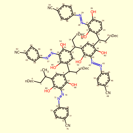 CCCCCCCCCCCC(C)c1cc(C(CCCCCCCCCCC)c2cc(C(CCCCCCCCCCC)c3cc(C(CCCCCCCCCCC)c4ccc(O)c(N=Nc5ccc(C#N)cc5)c4O)c(O)c(N=Nc4ccc(C#N)cc4)c3O)c(O)c(N=Nc3ccc(C#N)cc3)c2O)c(O)c(N=Nc2ccc(C#N)cc2)c1O